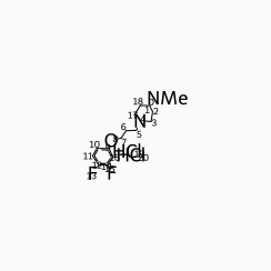 CNC1CCN(CCCOc2ccc(F)c(F)c2)CC1.Cl.Cl